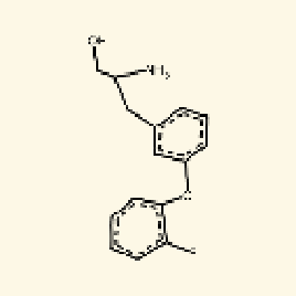 NC(CO)Cc1cccc(Oc2ccccc2F)c1